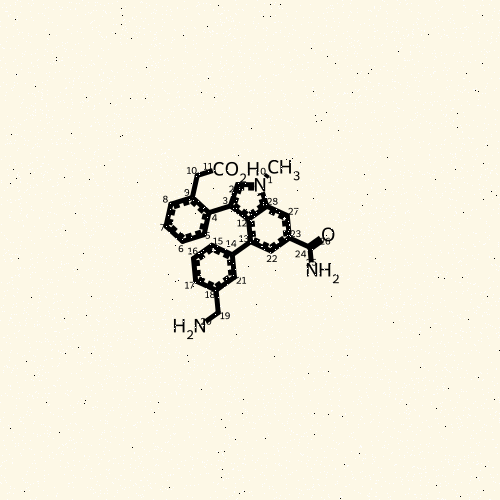 Cn1cc(-c2ccccc2CC(=O)O)c2c(-c3cccc(CN)c3)cc(C(N)=O)cc21